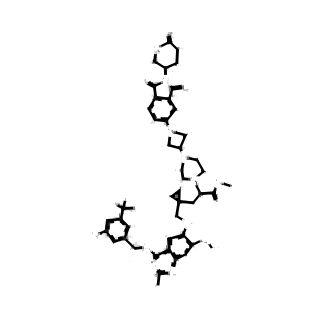 CNC(=O)C(CC1(COc2cc3c(N[C@H](C)c4cc(N)cc(C(F)(F)F)c4)nc(C)nc3cc2OC)CC1)N1CCN(C2CN(c3ccc4c(c3)C(=O)N(C3CCC(=O)NC3=O)C4=O)C2)CC1